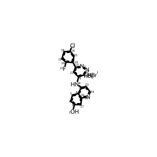 Br.Br.Oc1ccc2c(Nc3cnnc(-c4cc(Cl)ccc4F)c3)ccnc2c1